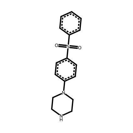 O=S(=O)(c1ccccc1)c1ccc(N2CCNCC2)cc1